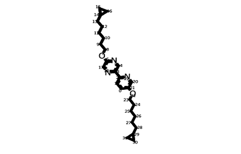 c1cc(-c2cnc(OCCCCCCC3CC3)cn2)ncc1OCCCCCCC1CC1